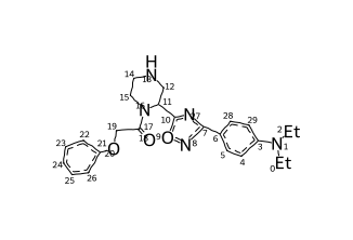 CCN(CC)c1ccc(-c2noc(C3CNCCN3C(=O)COc3ccccc3)n2)cc1